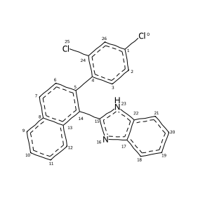 Clc1ccc(-c2ccc3ccccc3c2-c2nc3ccccc3[nH]2)c(Cl)c1